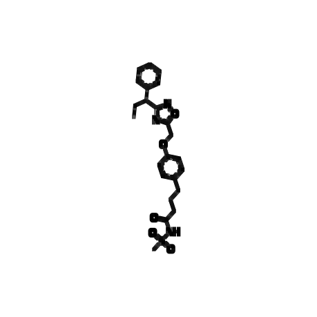 CCC(c1ccccc1)c1noc(COc2ccc(CCCC(=O)NS(C)(=O)=O)cc2)n1